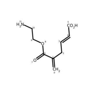 C=C(CC=CC(=O)O)C(=O)OCCN